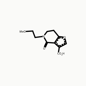 COCCN1CCc2occ(C(=O)O)c2C1=O